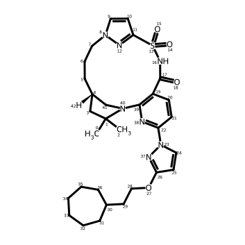 CC1(C)C[C@@H]2CCCn3ccc(n3)S(=O)(=O)NC(=O)c3ccc(-n4ccc(OCCC5CCCCCC5)n4)nc3N1C2